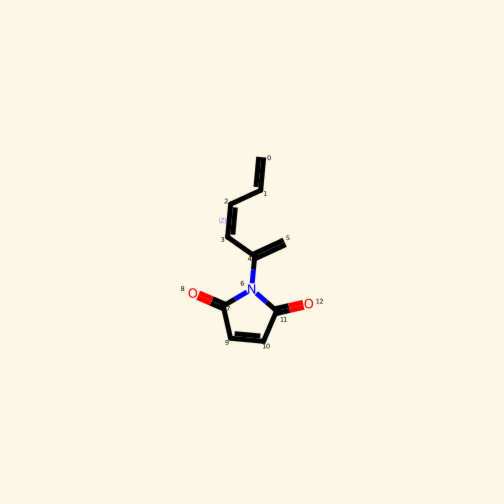 C=C/C=C\C(=C)N1C(=O)C=CC1=O